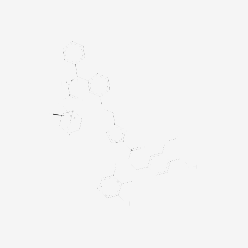 COc1ccc([C@H](Cc2c(Cl)cncc2Cl)OC(=O)c2ccc(COc3cccc([C@@H](NC(=O)O[C@H]4CN5CCC4CC5)c4ccccc4)c3)s2)cc1OC